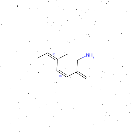 C=C(/C=C\C(C)=C/C)CN